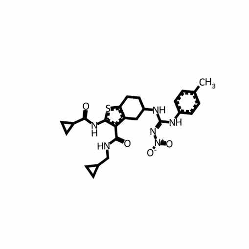 Cc1ccc(NC(=N[N+](=O)[O-])NC2CCc3sc(NC(=O)C4CC4)c(C(=O)NCC4CC4)c3C2)cc1